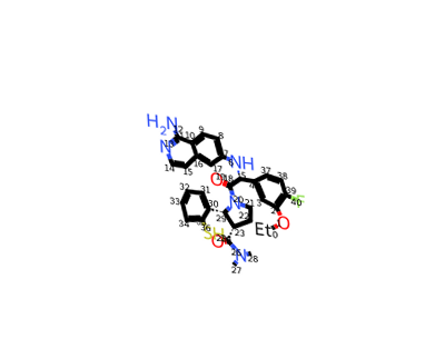 CCOc1cc([C@@H](Nc2ccc3c(N)nccc3c2)C(=O)N2CC[C@H](C(=O)N(C)C)[C@@H]2c2ccccc2S)ccc1F